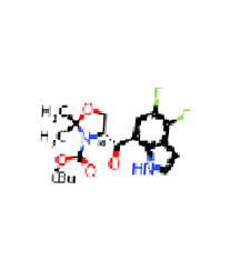 CC(C)(C)OC(=O)N1[C@@H](C(=O)c2cc(F)c(F)c3cc[nH]c23)COC1(C)C